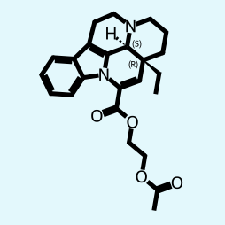 CC[C@]12C=C(C(=O)OCCOC(C)=O)n3c4c(c5ccccc53)CCN(CCC1)[C@H]42